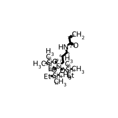 C=CC(=O)NCCC[Si](O[Si](C)(C)CC)(O[Si](C)(C)CC)O[Si](C)(C)CC